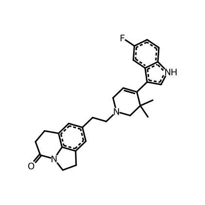 CC1(C)CN(CCc2cc3c4c(c2)CCN4C(=O)CC3)CC=C1c1c[nH]c2ccc(F)cc12